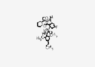 C=CCc1cc(C)c(NC(=O)Nc2cc(F)ccc2C(=O)NC(C(=O)O)C2CCCCC2)c(C)c1